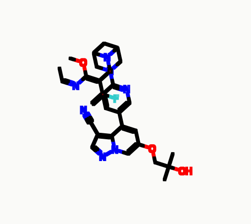 C=C(F)/C(CN1C2CC1CN(c1ccc(-c3cc(OCC(C)(C)O)cn4ncc(C#N)c34)cn1)C2)=C(\N=C/C)OC